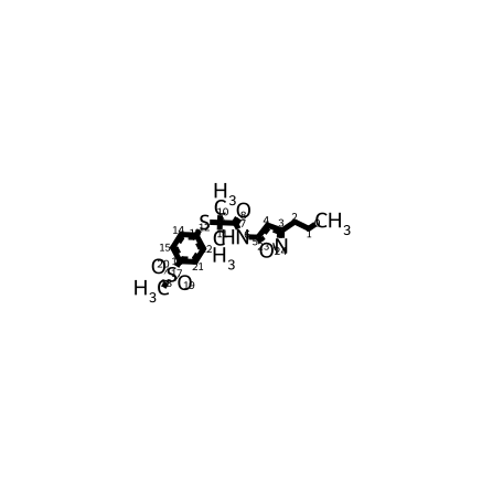 CCCc1cc(NC(=O)C(C)(C)Sc2ccc(S(C)(=O)=O)cc2)on1